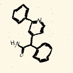 NC(=O)C(c1ccccc1)c1ccnc(-c2ccccc2)c1